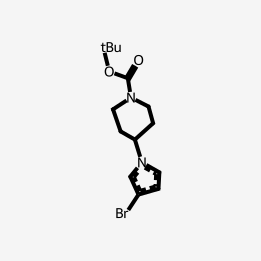 CC(C)(C)OC(=O)N1CCC(n2ccc(Br)c2)CC1